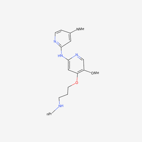 CCCNCCCOc1cc(Nc2cc(NC)ccn2)ncc1OC